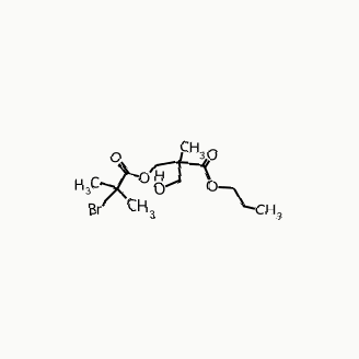 CCCOC(=O)C(C)(CO)COC(=O)C(C)(C)Br